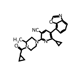 CC1CN(c2nc(C3CC3)c(-c3cccc4ncoc34)cc2C#N)CCN1C(=O)C1CC1